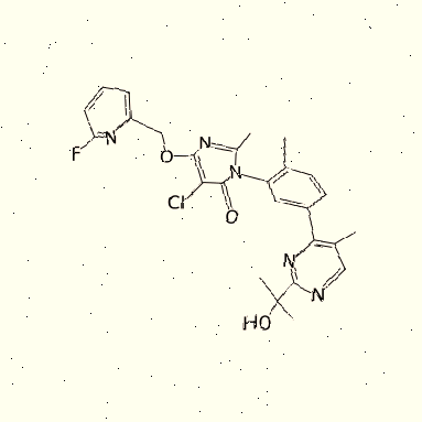 Cc1ccc(-c2nc(C(C)(C)O)ncc2C)cc1-n1c(C)nc(OCc2cccc(F)n2)c(Cl)c1=O